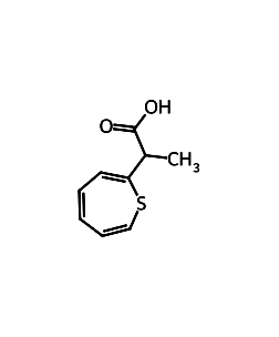 CC(C(=O)O)C1=CC=CC=CS1